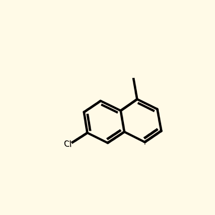 Cc1cc[c]c2cc(Cl)ccc12